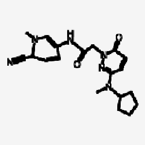 CN1C=C(NC(=O)Cn2nc(N(C)C3CCCC3)ccc2=O)C=CC1C#N